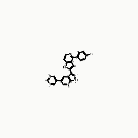 Fc1ccc(-c2nccc3[nH]c(-c4n[nH]c5ncc(-c6cncnc6)cc45)cc23)cc1